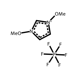 COn1cc[n+](OC)c1.F[P-](F)(F)(F)(F)F